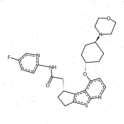 O=C(C[C@H]1CCc2sc3nccc(O[C@H]4CC[C@H](N5CCOCC5)CC4)c3c21)Nc1ccc(F)cn1